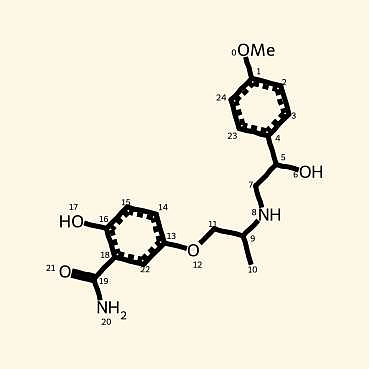 COc1ccc(C(O)CNC(C)COc2ccc(O)c(C(N)=O)c2)cc1